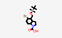 CC(C)(C)[Si](C)(C)OCc1c(Br)ccc2c1CCN2C(=O)O